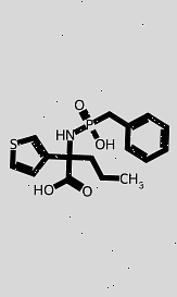 CCCC(NP(=O)(O)Cc1ccccc1)(C(=O)O)c1ccsc1